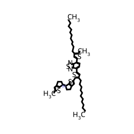 CCCCCCCCCCCCc1cc(-c2ccc(-c3cc(CCCCCCCCCCCC)c(-c4cc5c(s4)/C(=C4\CCc6cc(C)sc64)CC5)s3)c3nsnc23)sc1C